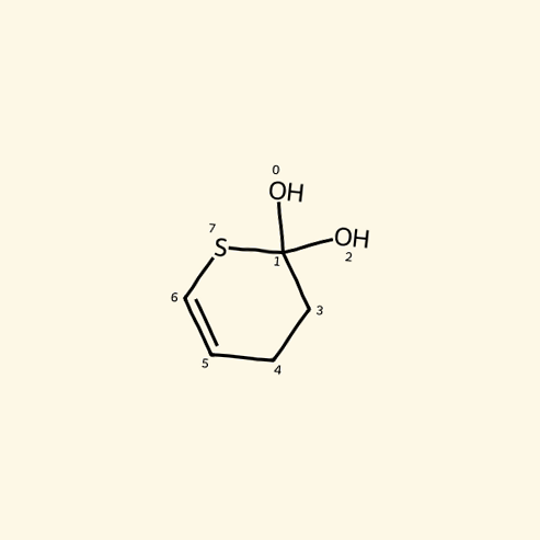 OC1(O)CCC=CS1